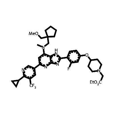 CCOC(=O)CN1CCC(Oc2ccc(-c3nc4nc(-c5cnc(C6CC6)c(C(F)(F)F)c5)cc(N(C)CC5(COC)CCCC5)c4[nH]3)c(F)c2)CC1